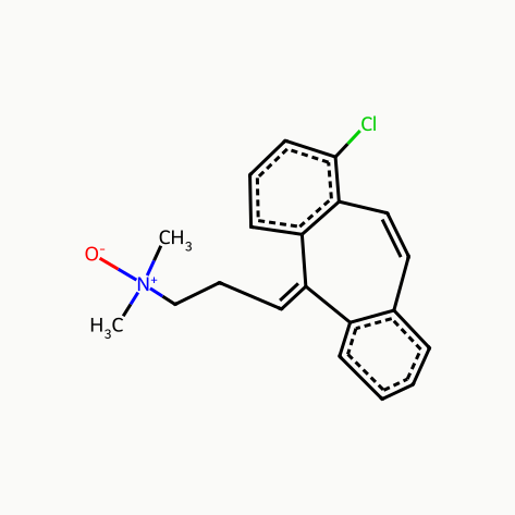 C[N+](C)([O-])CC/C=C1/c2ccccc2C=Cc2c(Cl)cccc21